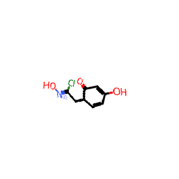 O=C1C=C(O)C=CC1C/C(Cl)=N/O